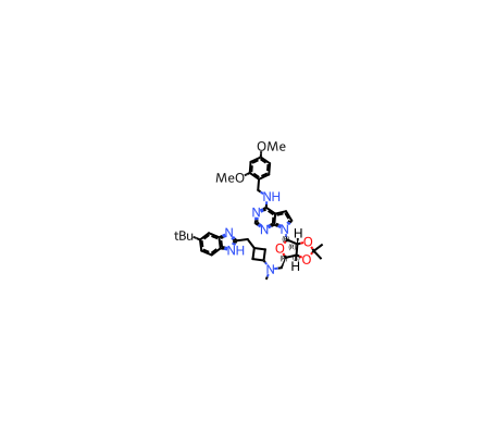 COc1ccc(CNc2ncnc3c2ccn3[C@@H]2O[C@H](CN(C)C3CC(Cc4nc5cc(C(C)(C)C)ccc5[nH]4)C3)[C@H]3OC(C)(C)O[C@H]32)c(OC)c1